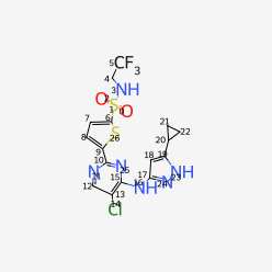 O=S(=O)(NCC(F)(F)F)c1ccc(-c2ncc(Cl)c(Nc3cc(C4CC4)[nH]n3)n2)s1